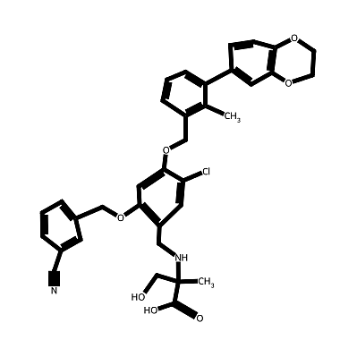 Cc1c(COc2cc(OCc3cccc(C#N)c3)c(CNC(C)(CO)C(=O)O)cc2Cl)cccc1-c1ccc2c(c1)OCCO2